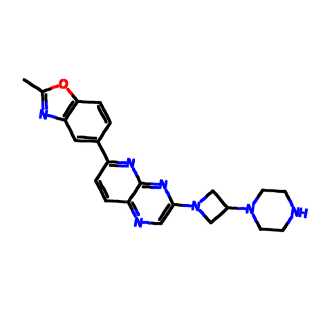 Cc1nc2cc(-c3ccc4ncc(N5CC(N6CCNCC6)C5)nc4n3)ccc2o1